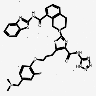 CN(C)Cc1ccc(OCCCc2sc(N3CCc4cccc(C(=O)Nc5nc6ccccc6s5)c4C3)nc2C(=O)Nc2nnn[nH]2)c(F)c1